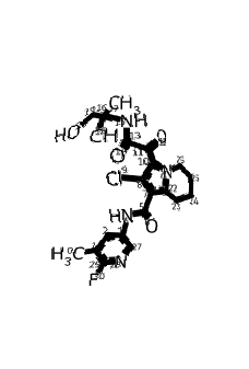 Cc1cc(NC(=O)c2c(Cl)c(C(=O)C(=O)NC(C)(C)CO)n3c2CCCC3)cnc1F